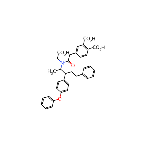 CC(C(CCc1ccccc1)c1ccc(Oc2ccccc2)cc1)N(CC(=O)O)C(=O)Cc1ccc(C(=O)O)c(C(=O)O)c1